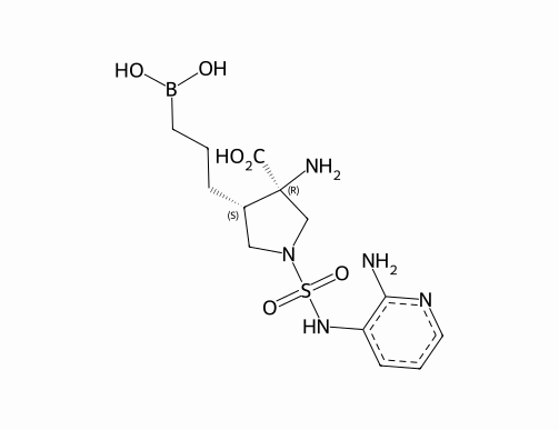 Nc1ncccc1NS(=O)(=O)N1C[C@H](CCCB(O)O)[C@](N)(C(=O)O)C1